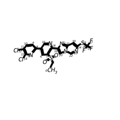 CCS(=O)(=O)c1cc(-c2ccc(Cl)c(Cl)n2)cnc1-c1cn2cnc(SC(F)(F)F)cc2n1